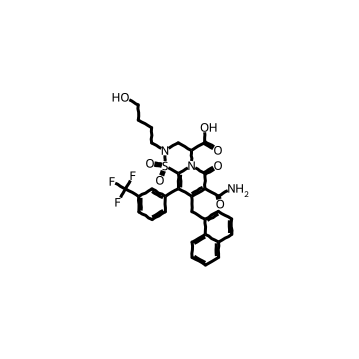 NC(=O)c1c(Cc2cccc3ccccc23)c(-c2cccc(C(F)(F)F)c2)c2n(c1=O)C(C(=O)O)CN(CCCCO)S2(=O)=O